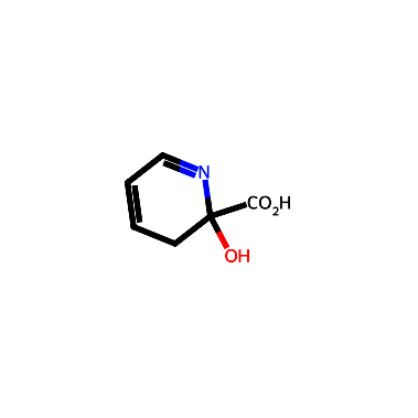 O=C(O)C1(O)CC=CC=N1